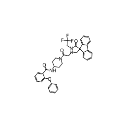 O=C(NC1CCN(C(=O)CCCC2(C(=O)NCC(F)(F)F)c3ccccc3-c3ccccc32)CC1)c1ccccc1Oc1ccccc1